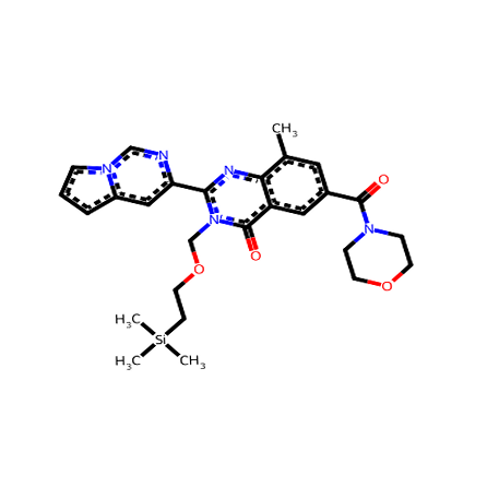 Cc1cc(C(=O)N2CCOCC2)cc2c(=O)n(COCC[Si](C)(C)C)c(-c3cc4cccn4cn3)nc12